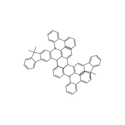 CC1(C)c2ccccc2-c2cc3c(cc21)N(c1ccccc1-c1ccccc1)c1cccc2c1C31CCC23c2cc4c(cc2N(c2ccccc2-c2ccccc2)c2cccc1c23)C(C)(C)c1ccccc1-4